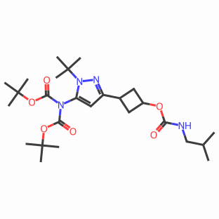 CC(C)CNC(=O)OC1CC(c2cc(N(C(=O)OC(C)(C)C)C(=O)OC(C)(C)C)n(C(C)(C)C)n2)C1